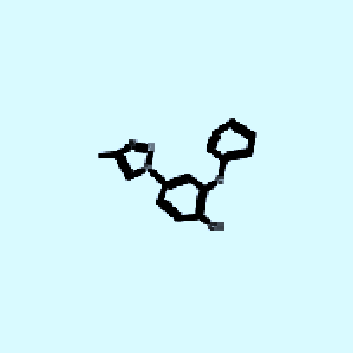 Cc1cn(-c2ccc(O)c(Oc3ccccc3)c2)nn1